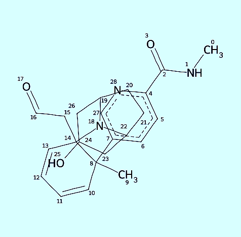 CNC(=O)c1ccc(C2(C)C=CC=CC2(CC=O)N2C3CCC2CC(O)C3)cn1